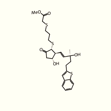 COC(=O)CSCCCS[C@H]1C(=O)C[C@@H](O)[C@@H]1C=C[C@@](C)(O)CCc1cc2ccccc2s1